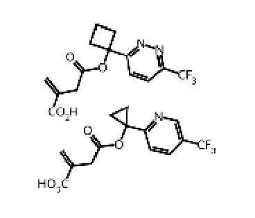 C=C(CC(=O)OC1(c2ccc(C(F)(F)F)cn2)CC1)C(=O)O.C=C(CC(=O)OC1(c2ccc(C(F)(F)F)nn2)CCC1)C(=O)O